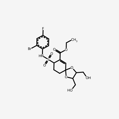 CCOC(=O)C1=CC2(CCC1S(=O)(=O)Nc1ccc(F)cc1Br)OC(CO)C(CO)O2